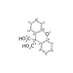 O=C(O)C1(C(=O)O)c2ccccc2Oc2ccccc21